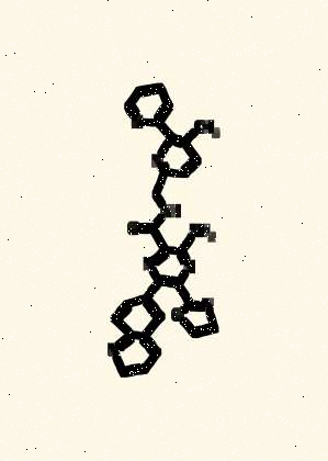 Cc1ccc(CNC(=O)c2nc(-c3ccc4ncccc4c3)c(-c3ncco3)nc2N)nc1-c1ccccn1